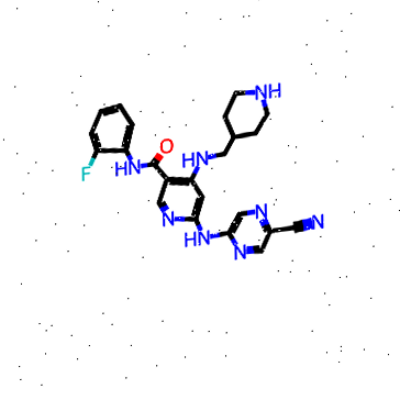 N#Cc1cnc(Nc2cc(NCC3CCNCC3)c(C(=O)Nc3ccccc3F)cn2)cn1